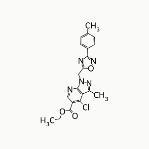 CCOC(=O)c1cnc2c(c(C)nn2Cc2nc(-c3ccc(C)cc3)no2)c1Cl